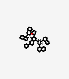 c1ccc(-c2ccc3c(-c4nc(-c5cccc6ccccc56)nc(-c5cccc6ccccc56)n4)cc(-c4ccccc4)c(-n4c5cc6ccccc6cc5c5c6ccccc6ccc54)c3c2)cc1